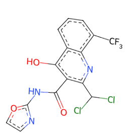 O=C(Nc1ncco1)c1c(C(Cl)Cl)nc2c(C(F)(F)F)cccc2c1O